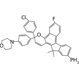 CC1(C)c2cc(P)ccc2-c2c1c1c(c3cc(F)ccc23)OC(c2ccc(Cl)cc2)(c2ccc(N3CCOCC3)cc2)C=C1